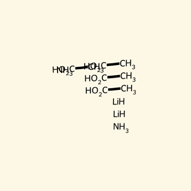 CC(=O)O.CC(=O)O.CC(=O)O.CC(=O)O.N.N.[LiH].[LiH]